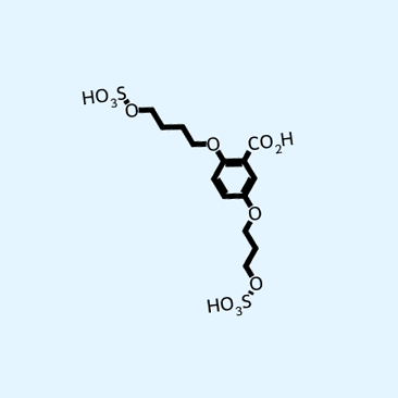 O=C(O)c1cc(OCCCOS(=O)(=O)O)ccc1OCCCCOS(=O)(=O)O